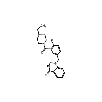 CCN1CCN(C(=O)c2cc(CN3CNC(=O)c4ccccc43)ccc2F)CC1